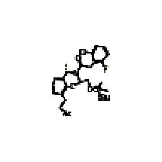 CC(=O)CCc1cccc2c1C[C@H](CO[Si](C)(C)C(C)(C)C)N(C(=O)Cc1c(F)cccc1Cl)[C@H]2C